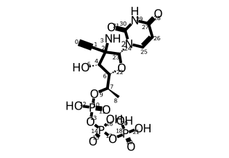 C#CC1(N)[C@@H](O)[C@@H]([C@@H](C)OP(=O)(O)OP(=O)(O)OP(=O)(O)O)O[C@H]1n1ccc(=O)[nH]c1=O